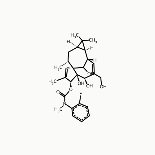 CC1=C[C@]23C(O)[C@@H](C=C(CO)[C@@H](O)[C@]2(O)[C@H]1OC(=O)N(C)c1ccccc1F)[C@H]1[C@@H](C[C@H]3C)C1(C)C